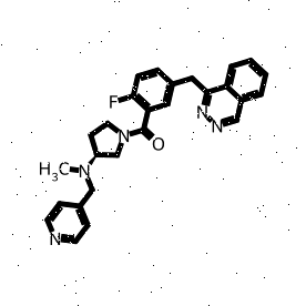 CN(Cc1ccncc1)[C@H]1CCN(C(=O)c2cc(Cc3nncc4ccccc34)ccc2F)C1